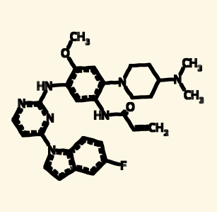 C=CC(=O)Nc1cc(Nc2nccc(-n3ccc4cc(F)ccc43)n2)c(OC)cc1N1CCC(N(C)C)CC1